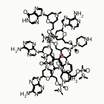 Cc1cn(C2CN(P(=O)(OCC3CN(P(=O)(OCC4CN(P(=O)(OCC5CN(P(=O)(OCC6CN(P(=O)(OCC7CN(C)CC(n8cnc9c(=O)[nH]cnc98)O7)N(C)C)CC(n7cnc8c(N)ncnc87)O6)N6CCNCC6)CC(n6ccc(N)nc6=O)O5)N(C)C)CC(n5cnc6c(N)ncnc65)O4)N(C)C)CC(n4cnc5c(N)ncnc54)O3)N(C)C)CC(COP(C)(=O)N(C)C)O2)c(=O)[nH]c1=O